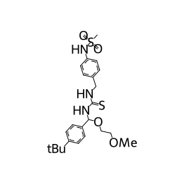 COCCOC(NC(=S)NCc1ccc(NS(C)(=O)=O)cc1)c1ccc(C(C)(C)C)cc1